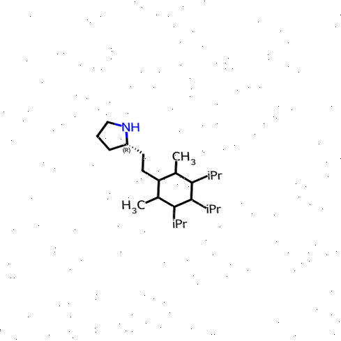 CC(C)C1C(C)C(CC[C@@H]2CCCN2)C(C)C(C(C)C)C1C(C)C